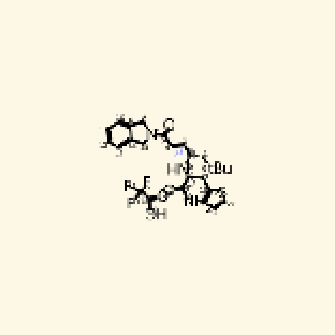 CC(C)(C)C[C@@H](/C=C/C(=O)N1Cc2ccccc2C1)N[C@@H](Cc1cccs1)C(N)=O.O=C(O)C(F)(F)F